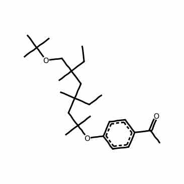 CCC(C)(COC(C)(C)C)CC(C)(CC)CC(C)(C)Oc1ccc(C(C)=O)cc1